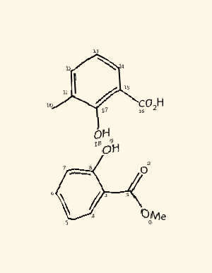 COC(=O)c1ccccc1O.Cc1cccc(C(=O)O)c1O